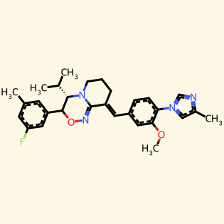 COc1cc(/C=C2\CCCN3C2=NOC(c2cc(C)cc(F)c2)[C@@H]3C(C)C)ccc1-n1cnc(C)c1